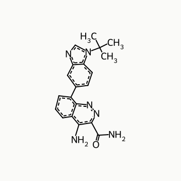 CC(C)(C)n1cnc2cc(-c3cccc4c(N)c(C(N)=O)nnc34)ccc21